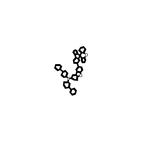 c1ccc(-c2ccc(N(c3cccc(-c4ccccc4)c3)c3ccc4oc5ccc(-c6ccc7c(c6)C6(c8ccccc8Oc8ccccc86)c6ccccc6-7)cc5c4c3)cc2)cc1